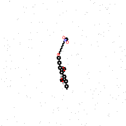 CCC12CCC(CC)(CC1)C21c2cc(-c3ccc(C)cc3)ccc2-c2ccc(-c3ccc4c(c3)C3(c5cc(-c6ccc(-c7ccc(OCCCCCCCCCCN8C(=O)C=CC8=O)cc7)cc6)ccc5-4)C4(C)CCC3(C)CC4)cc21